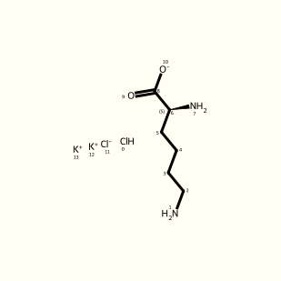 Cl.NCCCC[C@H](N)C(=O)[O-].[Cl-].[K+].[K+]